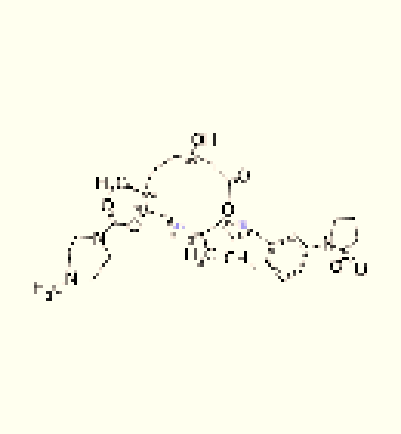 C/C(=C\c1cccc(N2CCCS2(=O)=O)c1)[C@H]1OC(=O)C[C@H](O)CC[C@H](C)[C@H](OC(=O)N2CCN(C)CC2)/C=C/[C@@H]1C